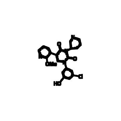 COc1ncccc1-c1cn(-c2cc(O)cc(Cl)c2)c(=O)n(-c2cccnc2)c1=O